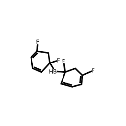 FC1=CC=CC(F)(BC2(F)C=CC=C(F)C2)C1